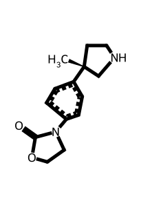 C[C@@]1(c2ccc(N3CCOC3=O)cc2)CCNC1